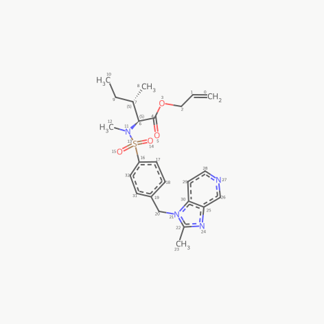 C=CCOC(=O)[C@H]([C@@H](C)CC)N(C)S(=O)(=O)c1ccc(Cn2c(C)nc3cnccc32)cc1